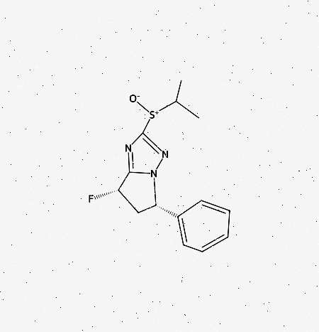 CC(C)[S+]([O-])c1nc2n(n1)[C@H](c1ccccc1)C[C@@H]2F